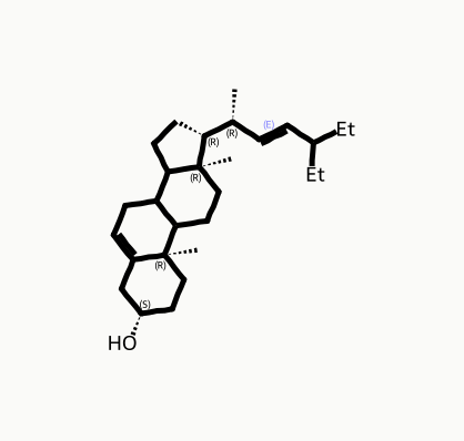 CCC(/C=C/[C@@H](C)[C@H]1CCC2C3CC=C4C[C@@H](O)CC[C@]4(C)C3CC[C@@]21C)CC